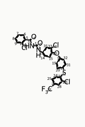 O=C(NC(=O)c1ccccc1Cl)Nc1ccc(Oc2ccc(Sc3ccc(C(F)(F)F)cc3Cl)cc2)c(Cl)c1